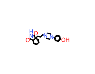 O=C1NC(=O)C2(CCCN3CCN(c4ccc(O)cc4)CC3)C=CC=CC12